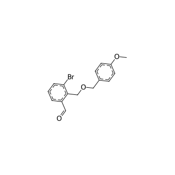 COc1ccc(COCc2c(Br)cccc2C=O)cc1